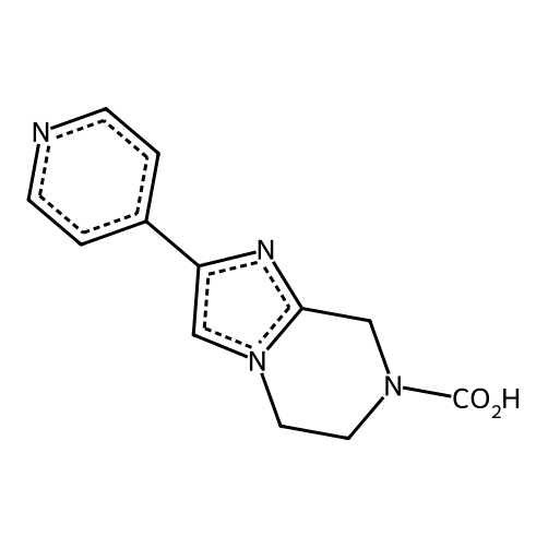 O=C(O)N1CCn2cc(-c3ccncc3)nc2C1